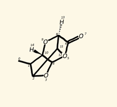 CC1C2OC3OC(=O)[C@H](O[C@H]31)C2C